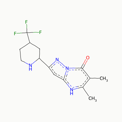 Cc1[nH]c2cc(C3CC(C(F)(F)F)CCN3)nn2c(=O)c1C